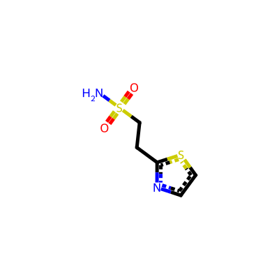 NS(=O)(=O)CCc1nccs1